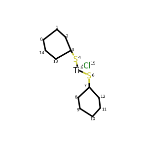 C1CCC([S][Ti][S]C2CCCCC2)CC1.[Cl]